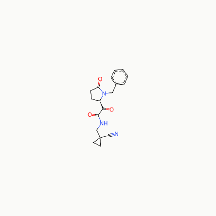 N#CC1(CNC(=O)C(=O)[C@H]2CCC(=O)N2Cc2ccccc2)CC1